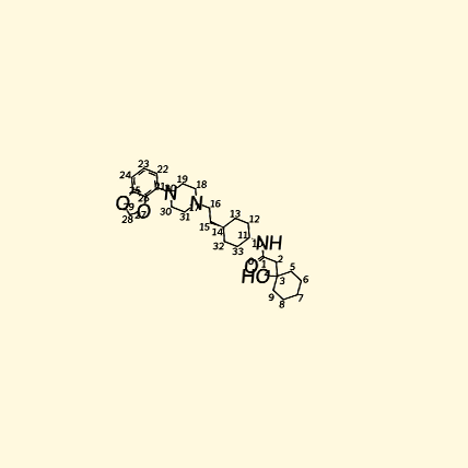 O=C(CC1(O)CCCCC1)N[C@H]1CC[C@H](CCN2CCN(c3cccc4c3OCO4)CC2)CC1